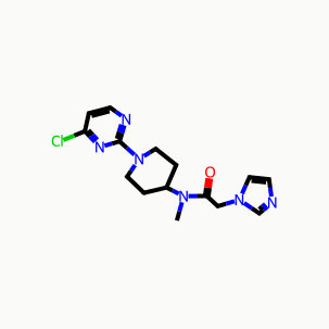 CN(C(=O)Cn1ccnc1)C1CCN(c2nccc(Cl)n2)CC1